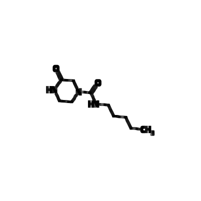 CCCCCNC(=O)N1CCNC(=O)C1